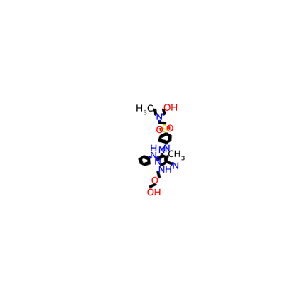 CCCN(CCO)CCS(=O)(=O)c1ccc(/N=N/c2c(Nc3ccccc3)nc(NCCOCCO)c(C#N)c2C)cc1